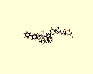 CN(C)C/C=C/C(=O)N1CCC(n2nc(C(=O)Nc3nc4cc(-c5ccccc5)ccc4o3)c3c(N)ncnc32)C1